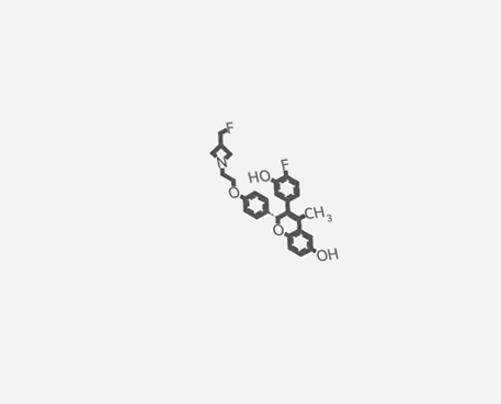 CC1=C(c2ccc(F)c(O)c2)[C@@H](c2ccc(OCCN3CC(CF)C3)cc2)Oc2ccc(O)cc21